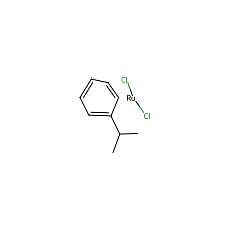 CC(C)c1cc[c]cc1.[Cl][Ru][Cl]